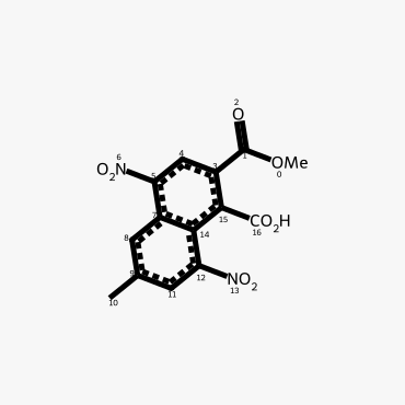 COC(=O)c1cc([N+](=O)[O-])c2cc(C)cc([N+](=O)[O-])c2c1C(=O)O